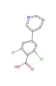 O=C(O)c1c(Cl)cc(-c2cccnc2)cc1Cl